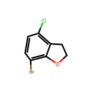 Clc1ccc(Br)c2c1CCO2